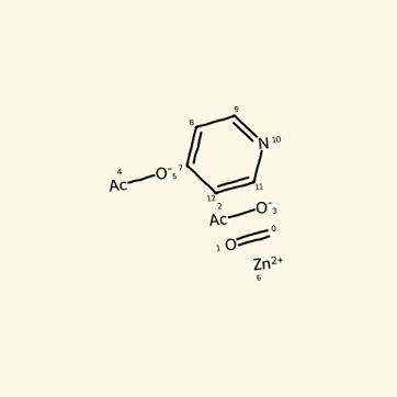 C=O.CC(=O)[O-].CC(=O)[O-].[Zn+2].c1ccncc1